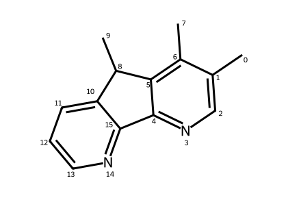 Cc1cnc2c(c1C)C(C)c1cccnc1-2